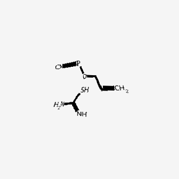 C=CCOP=O.N=C(N)S